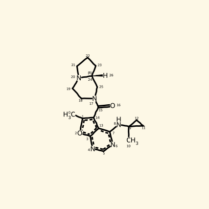 Cc1oc2ncnc(NC3(C)CC3)c2c1C(=O)N1CCN2CCC[C@@H]2C1